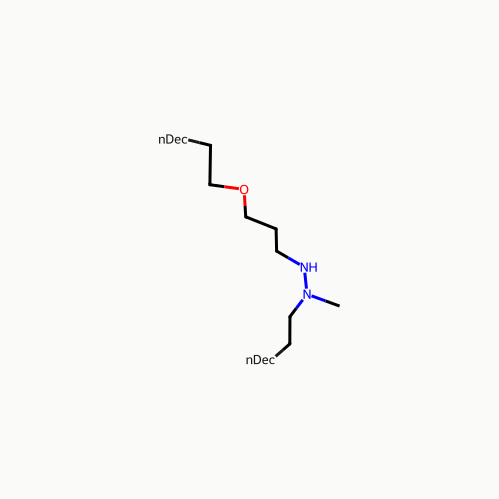 CCCCCCCCCCCCOCCCNN(C)CCCCCCCCCCCC